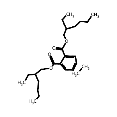 CC.CCCCC(CC)COC(=O)c1ccccc1C(=O)OCC(CC)CCCC